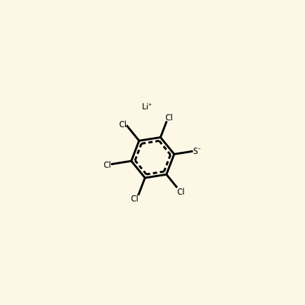 [Li+].[S-]c1c(Cl)c(Cl)c(Cl)c(Cl)c1Cl